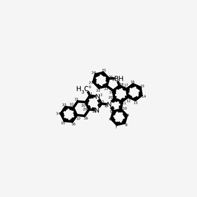 Cc1nc(-n2c3ccccc3c3c4ccccc4c4c(c32)-c2ccccc2B4)nc2c1Cc1ccccc1C2